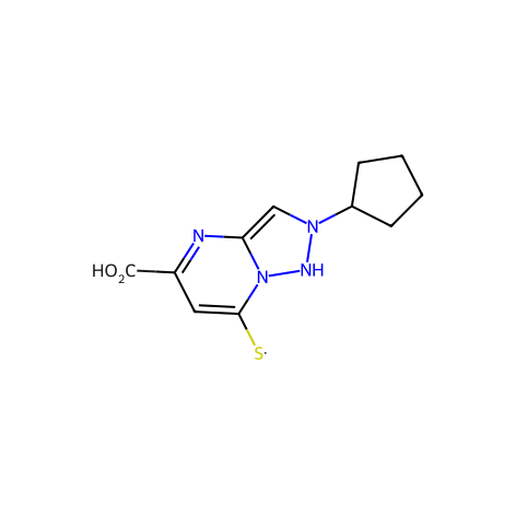 O=C(O)C1=NC2=CN(C3CCCC3)NN2C([S])=C1